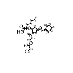 CCCCCCC(=O)O.CN(CCOC(=O)CCl)[C@H]1C[C@H](OCc2ccccc2)C[C@@H]1O